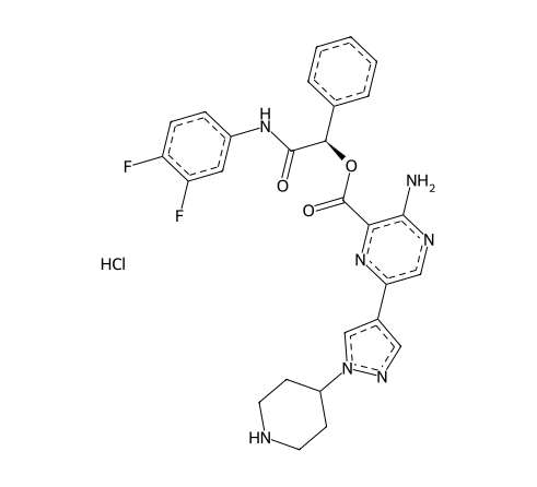 Cl.Nc1ncc(-c2cnn(C3CCNCC3)c2)nc1C(=O)O[C@@H](C(=O)Nc1ccc(F)c(F)c1)c1ccccc1